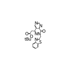 CC(C)(C)OC(=O)Cc1nn(Cc2nc3ccccc3s2)c(=O)c2ncncc12